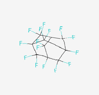 FC1(F)C2C(F)(F)C3(F)C(F)(F)C1(F)C(F)(F)C(F)(C2(F)F)C3(F)F